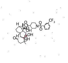 C=C1C(=O)[C@]23[C@H](OC(=O)C4CCN(S(=O)(=O)c5cccc(C(F)(F)F)c5)CC4)[C@H]1CC[C@H]2[C@@]12CO[C@@]3(O)[C@@H](O)[C@@H]1C(C)(C)CCC2=O